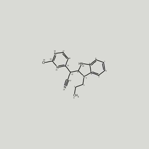 CCCN1c2ccccc2NC1C(C#N)c1ccnc(Cl)n1